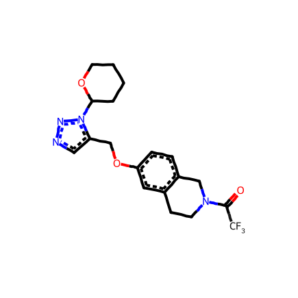 O=C(N1CCc2cc(OCc3cnnn3C3CCCCO3)ccc2C1)C(F)(F)F